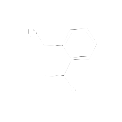 NCc1ccccc1C(O)Br